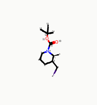 C[C@H]1C(CI)CCCN1C(=O)OC(C)(C)C